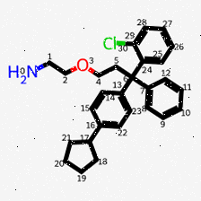 NCCOCCC(c1ccccc1)(c1ccc(C2CCCC2)cc1)c1ccccc1Cl